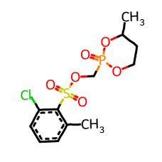 Cc1cccc(Cl)c1S(=O)(=O)OCP1(=O)OCCC(C)O1